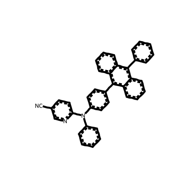 N#Cc1ccc(N(c2ccccc2)c2ccc(-c3c4ccccc4c(-c4ccccc4)c4ccccc34)cc2)nc1